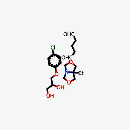 CCC12COCN1COC2.O=CCCCC=O.OCC(O)COc1ccc(Cl)cc1